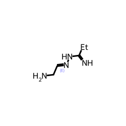 CCC(=N)N/N=C/CN